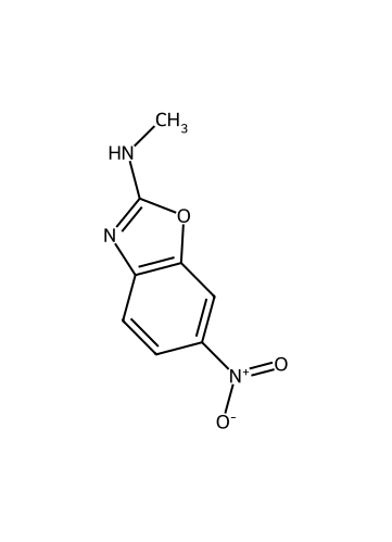 CNc1nc2ccc([N+](=O)[O-])cc2o1